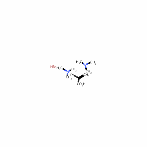 Br.C=C(CC)C(=O)O.CN(C)C.CN(C)C